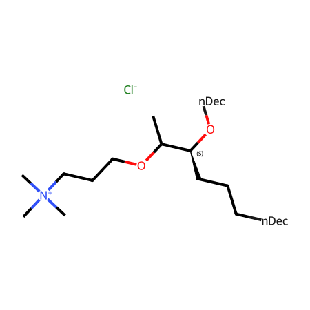 CCCCCCCCCCCCC[C@H](OCCCCCCCCCC)C(C)OCCC[N+](C)(C)C.[Cl-]